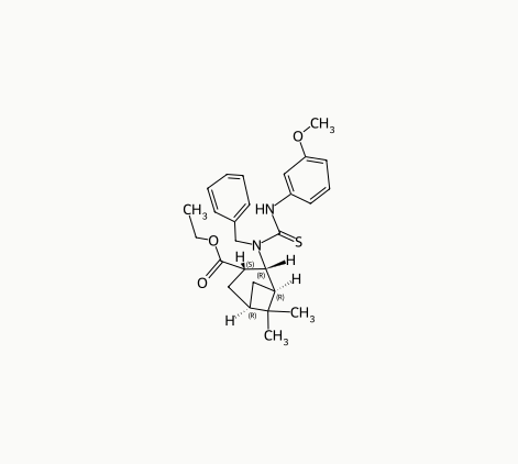 CCOC(=O)[C@H]1C[C@H]2C[C@@H]([C@H]1N(Cc1ccccc1)C(=S)Nc1cccc(OC)c1)C2(C)C